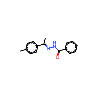 C/C(=N\NC(=O)c1ccccc1)c1ccc(C)cc1